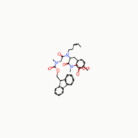 C/C=C\CCN(C(=O)CN(C)C(=O)OCC1c2ccccc2-c2ccccc21)C(Cc1ccc(C)cc1)C(=O)N(C)CC(=O)O